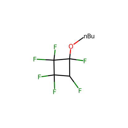 CCCCOC1(F)C(F)C(F)(F)C1(F)F